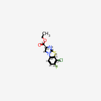 CCOC(=O)[C@@H]1CN2C(=N1)Sc1c2ccc(F)c1Cl